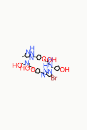 CN(CCO)CC(O)COc1ccc(-c2nc3cc(Br)cnc3[nH]2)cc1.Cc1cnc2[nH]c(-c3ccc(OCC(O)CNCc4ccc(O)cc4)cc3)nc2c1